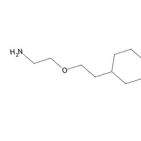 NCCOCCC1CCCCC1